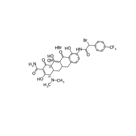 Br.CN(C)[C@@H]1C(O)=C(C(N)=O)C(=O)[C@@]2(O)C(O)=C3C(=O)c4c(ccc(NC(=O)C(Br)c5ccc(C(F)(F)F)cc5)c4O)CC3CC12